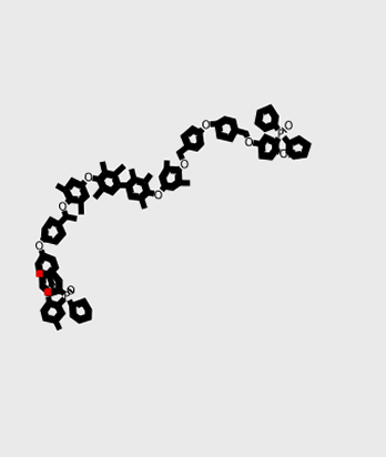 Cc1ccc(OCc2ccc(Oc3ccc(C(C)Oc4c(C)cc(Oc5c(C)cc(-c6cc(C)c(Oc7cc(C)c(OCc8ccc(Oc9ccc(COc%10ccc(O)c(P(=O)(c%11ccccc%11)c%11ccccc%11)c%10)cc9)cc8)c(C)c7)c(C)c6C)c(C)c5C)cc4C)cc3)cc2)c(P(=O)(c2ccccc2)c2ccccc2)c1